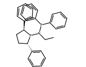 CCN(P(c1ccccc1)c1ccccc1)P1[C@H](c2ccccc2)CC[C@H]1c1ccccc1